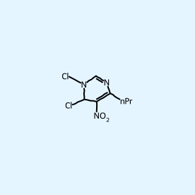 CCCC1=C([N+](=O)[O-])C(Cl)N(Cl)C=N1